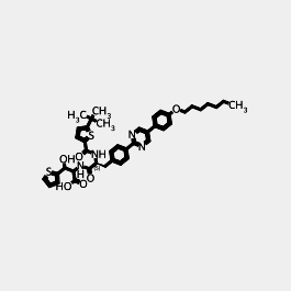 CCCCCCCOc1ccc(-c2cnc(-c3ccc(C[C@H](NC(=O)c4ccc(C(C)(C)C)s4)C(=O)NC(C(=O)O)C(O)c4cccs4)cc3)nc2)cc1